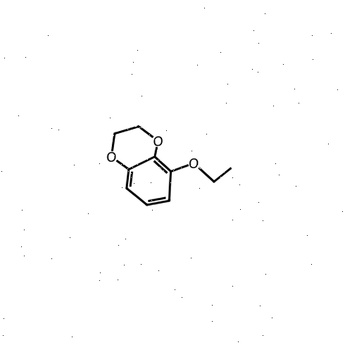 CCOc1cccc2c1OCCO2